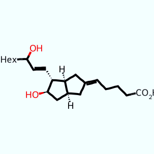 CCCCCCC(O)/C=C/[C@@H]1[C@H]2C/C(=C/CCCC(=O)O)C[C@H]2C[C@H]1O